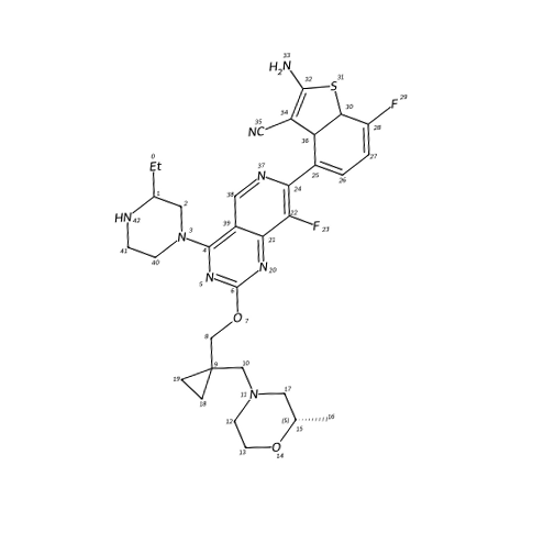 CCC1CN(c2nc(OCC3(CN4CCO[C@@H](C)C4)CC3)nc3c(F)c(C4=CC=C(F)C5SC(N)=C(C#N)C45)ncc23)CCN1